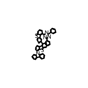 c1ccc(-c2nc(-c3ccccc3)nc(-c3cccc4sc5ccc(-c6cccc7sc8c(-n9c%10ccccc%10c%10ccccc%109)cccc8c67)cc5c34)n2)cc1